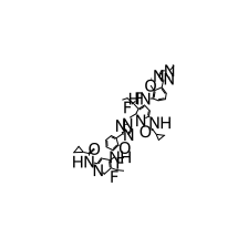 CCC(F)(F)c1c(Nc2cccc(-c3ncn(C)n3)c2OC)cc(NC(=O)C2CC2)nc1Cn1cnc(-c2cccc(Nc3cc(NC(=O)C4CC4)ncc3C(C)(F)F)c2OC)n1